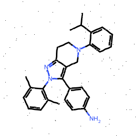 Cc1cccc(C)c1-n1nc2c(c1-c1ccc(N)cc1)CN(c1ccccc1C(C)C)CC2